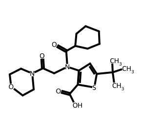 CC(C)(C)c1cc(N(CC(=O)N2CCOCC2)C(=O)C2CCCCC2)c(C(=O)O)s1